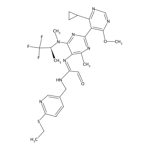 CCSc1ccc(CN/C(C=O)=N/c2c(C)nc(-c3c(OC)ncnc3C3CC3)nc2N(C)[C@@H](C)C(F)(F)F)cn1